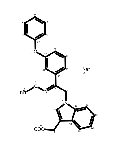 CCCON=C(Cn1cc(CC(=O)[O-])c2ccccc21)c1cccc(Oc2ccccc2)c1.[Na+]